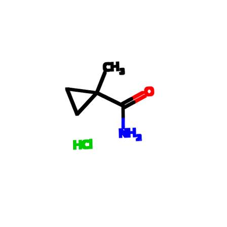 CC1(C(N)=O)CC1.Cl